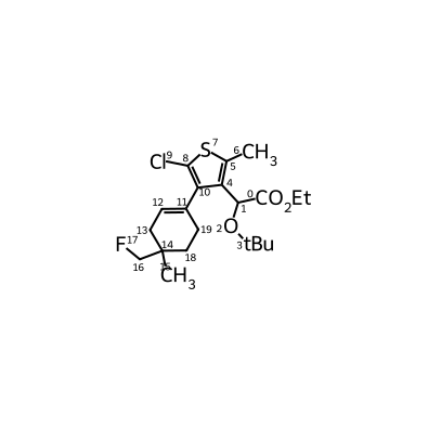 CCOC(=O)C(OC(C)(C)C)c1c(C)sc(Cl)c1C1=CCC(C)(CF)CC1